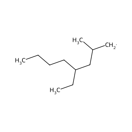 [CH2]C(C)CC(CC)CCCC